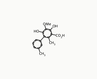 COc1c(O)c(C(=O)O)c(C)c(-c2cccc(C)c2)c1O